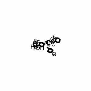 COc1ccc(C[C@H]2CN(S(=O)(=O)C3=CC=CCC3=S)CCN2c2ccc(C(O)(C(F)(F)F)C(F)(F)F)cc2)cc1